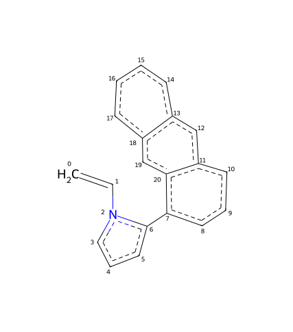 C=Cn1cccc1-c1cccc2cc3ccccc3cc12